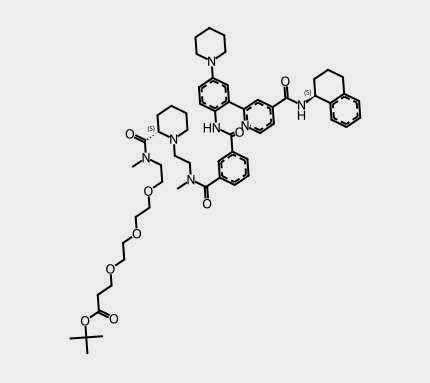 CN(CCN1CCCC[C@H]1C(=O)N(C)CCOCCOCCOCCC(=O)OC(C)(C)C)C(=O)c1cccc(C(=O)Nc2ccc(N3CCCCC3)cc2-c2cc(C(=O)N[C@H]3CCCc4ccccc43)ccn2)c1